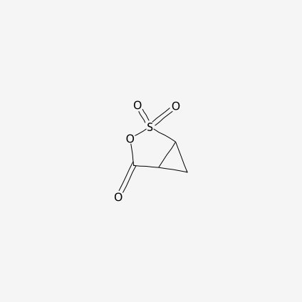 O=C1OS(=O)(=O)C2CC12